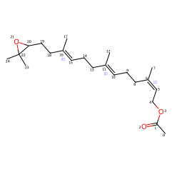 CC(=O)OC/C=C(/C)CC/C=C(\C)CC/C=C(\C)CCC1OC1(C)C